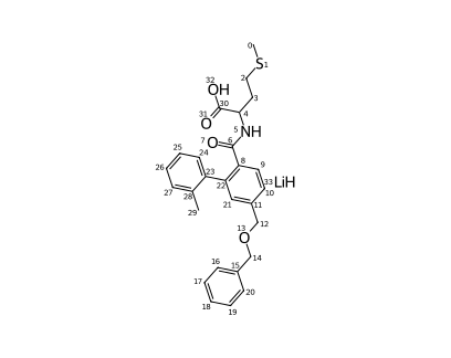 CSCCC(NC(=O)c1ccc(COCc2ccccc2)cc1-c1ccccc1C)C(=O)O.[LiH]